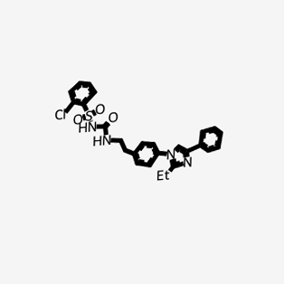 CCc1nc(-c2ccccc2)cn1-c1ccc(CCNC(=O)NS(=O)(=O)c2ccccc2Cl)cc1